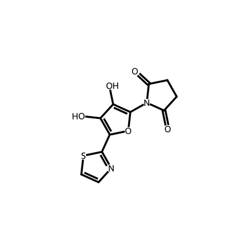 O=C1CCC(=O)N1c1oc(-c2nccs2)c(O)c1O